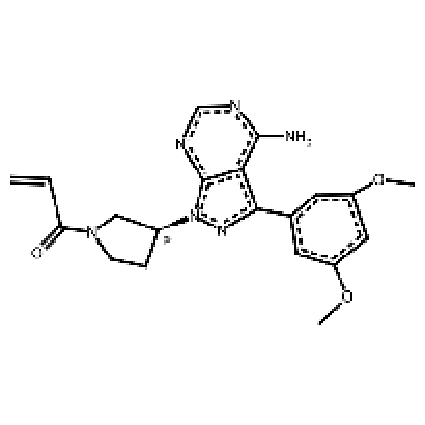 C=CC(=O)N1CC[C@H](n2nc(-c3cc(OC)cc(OC)c3)c3c(N)ncnc32)C1